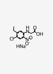 CCc1cc(NCC(=O)O)c([N+](=O)[O-])cc1Cl.[NaH]